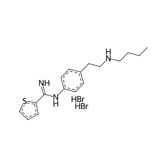 Br.Br.CCCCNCCc1ccc(NC(=N)c2cccs2)cc1